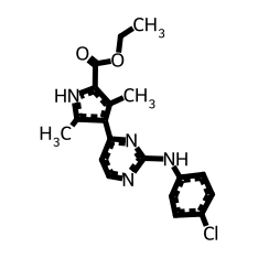 CCOC(=O)c1[nH]c(C)c(-c2ccnc(Nc3ccc(Cl)cc3)n2)c1C